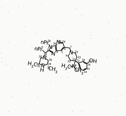 CCCC(c1nc2cc(CN3CCC(c4cccc(O)c4)(N(C)C)CC3)cnc2n1CCC)N1C[C@@H](C)N[C@@H](C)C1